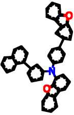 c1cc(-c2cccc3ccccc23)cc(N(c2ccc(-c3ccc4oc5ccccc5c4c3)cc2)c2cccc3c2oc2ccccc23)c1